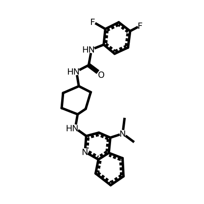 CN(C)c1cc(NC2CCC(NC(=O)Nc3ccc(F)cc3F)CC2)nc2ccccc12